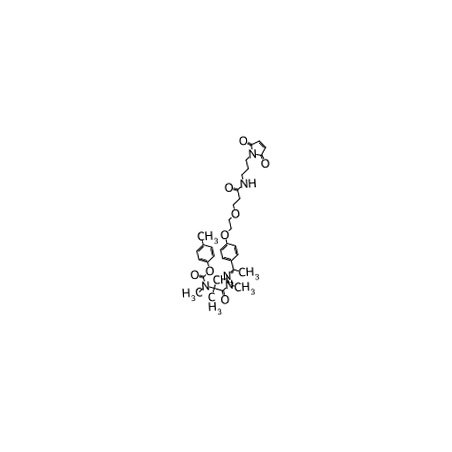 C/C(=N\N(C)C(=O)C(C)(C)N(C)C(=O)Oc1ccc(C)cc1)c1ccc(OCCOCCC(=O)NCCCN2C(=O)C=CC2=O)cc1